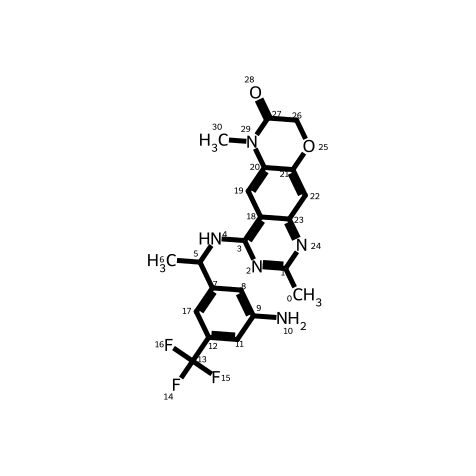 Cc1nc(NC(C)c2cc(N)cc(C(F)(F)F)c2)c2cc3c(cc2n1)OCC(=O)N3C